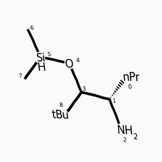 CCC[C@H](N)C(O[SiH](C)C)C(C)(C)C